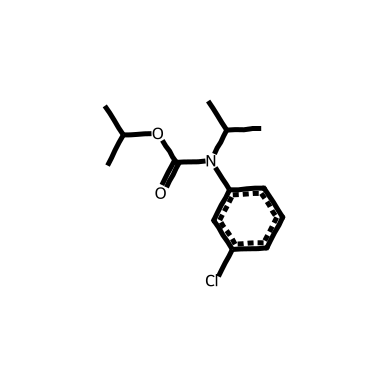 CC(C)OC(=O)N(c1cccc(Cl)c1)C(C)C